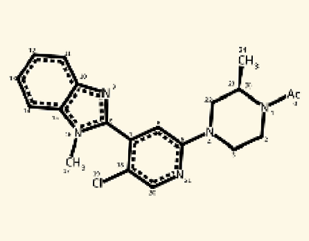 CC(=O)N1CCN(c2cc(-c3nc4ccccc4n3C)c(Cl)cn2)C[C@H]1C